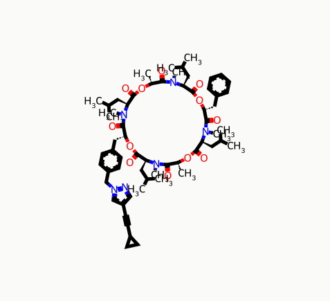 CC(C)C[C@H]1C(=O)O[C@H](Cc2ccc(Cn3cc(C#CC4CC4)cn3)cc2)C(=O)N(C)[C@@H](CC(C)C)C(=O)O[C@H](C)C(=O)N(C)[C@@H](CC(C)C)C(=O)O[C@H](Cc2ccccc2)C(=O)N(C)[C@@H](CC(C)C)C(=O)O[C@H](C)C(=O)N1C